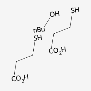 CCCCO.O=C(O)CCS.O=C(O)CCS